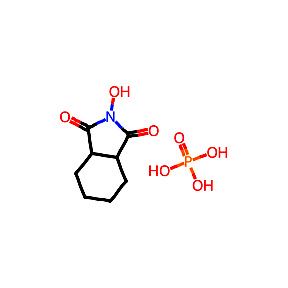 O=C1C2CCCCC2C(=O)N1O.O=P(O)(O)O